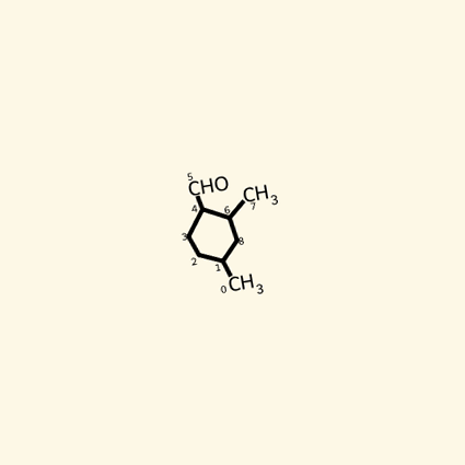 CC1CCC(C=O)C(C)C1